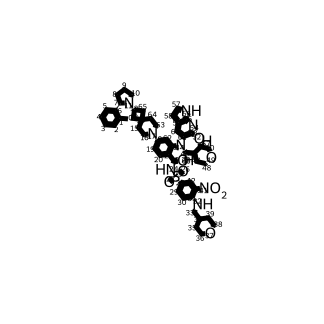 Cc1ccccc1[C@@H]1CCCN1C1CC2(CCN(c3ccc(C(=O)NS(=O)(=O)c4ccc(NCC5CCOCC5)c([N+](=O)[O-])c4)c(N4C[C@@H]5CCOC[C@@H]5Oc5nc6[nH]ccc6cc54)c3)CC2)C1